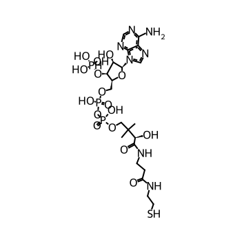 CC(C)(COP(=O)(O)OP(=O)(O)OC[C@@H]1O[C@H](n2cnc3c(N)ncnc32)[C@H](O)[C@@H]1O[PH](O)(O)O)[C@@H](O)C(=O)NCCC(=O)NCCS